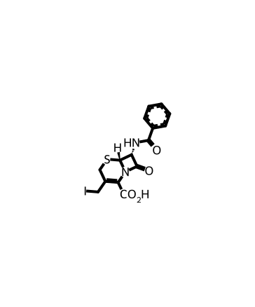 O=C(O)C1=C(CI)CS[C@@H]2[C@H](NC(=O)c3ccccc3)C(=O)N12